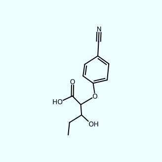 CCC(O)C(Oc1ccc(C#N)cc1)C(=O)O